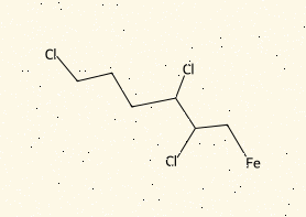 ClCCCC(Cl)C(Cl)[CH2][Fe]